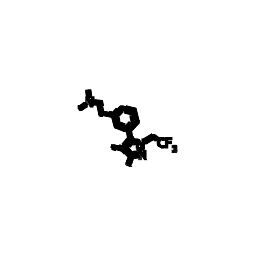 Cc1nn(CC(F)(F)F)c(-c2cccc(CCN(C)C)c2)c1C